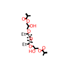 C=C(C)C(=O)OCC(O)COC(CC)[Si](C)(C)O[Si](C)(C)C(CC)OCC(O)COC(=O)C(=C)C